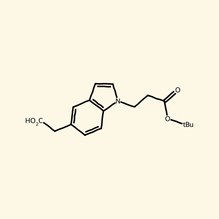 CC(C)(C)OC(=O)CCn1ccc2cc(CC(=O)O)ccc21